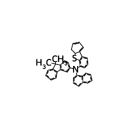 CC1(C)c2ccccc2-c2cc(N(c3cccc4c3SC3CC=CC=C43)c3cccc4ccccc34)ccc21